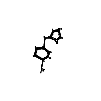 CC(C)c1ccc(Cc2cnco2)cc1